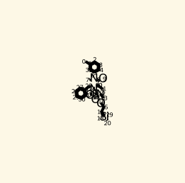 Cc1cccc(N(C)C(=O)[C@@H]2CN(COCC[Si](C)(C)C)S(=O)(=O)N2Cc2ccccc2)c1